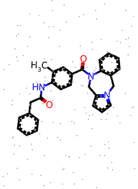 Cc1cc(C(=O)N2Cc3cccn3Cc3ccccc32)ccc1NC(=O)Cc1ccccc1